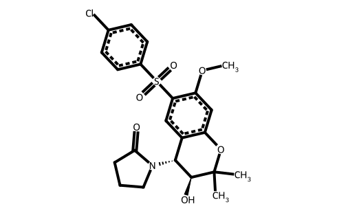 COc1cc2c(cc1S(=O)(=O)c1ccc(Cl)cc1)[C@@H](N1CCCC1=O)[C@H](O)C(C)(C)O2